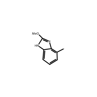 [CH2]c1cccc2[nH]c(OC)nc12